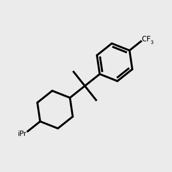 CC(C)C1CCC(C(C)(C)c2ccc(C(F)(F)F)cc2)CC1